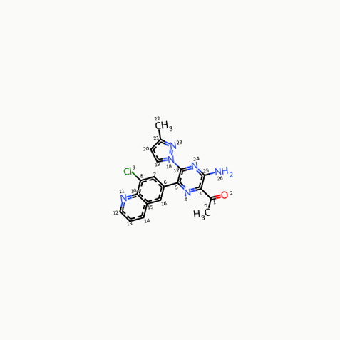 CC(=O)c1nc(-c2cc(Cl)c3ncccc3c2)c(-n2ccc(C)n2)nc1N